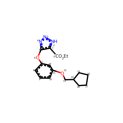 CCOC(=O)c1[nH]nnc1Oc1cccc(OCC2CCCC2)c1